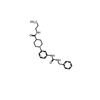 O=C(O)CCNC(=O)C1CCN(c2cccc(NC(=O)NCc3ccccc3)c2)CC1